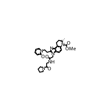 COC(=O)N1c2ccc3c(nc(CCn4ccccc4=O)n3CC(=O)NCC(=O)N3CCCC3)c2CC[C@@H]1C